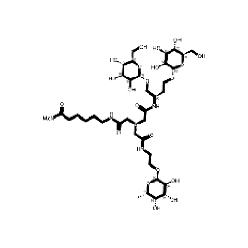 CNC(=O)CCCCCNC(=O)CN(CC(=O)NCCO[C@@H]1O[C@@H](C)[C@@H](O)[C@@H](O)[C@@H]1O)CC(=O)N[C@H](CCO[C@H]1O[C@H](CO)[C@@H](O)[C@H](O)[C@@H]1O)CO[C@H]1O[C@H](CO)[C@@H](O)[C@H](O)[C@@H]1O